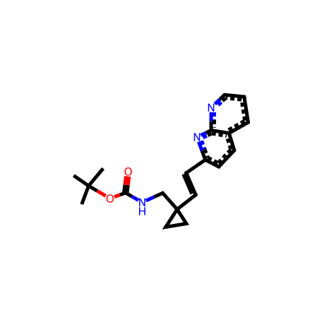 CC(C)(C)OC(=O)NCC1(/C=C/c2ccc3cccnc3n2)CC1